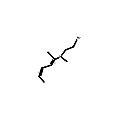 C/C=C\C=C(/C)N(C)CCC(C)=O